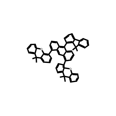 CC1(C)c2ccccc2Oc2c(-c3cccc4c(-c5cccc6c5C(C)(C)c5ccccc5-6)c5cccc(-c6cccc7c6Oc6ccccc6C7(C)C)c5cc34)cccc21